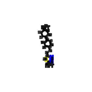 CCCc1nnc(CCc2ccc(C3CCC(CCC)CC3)cc2)s1